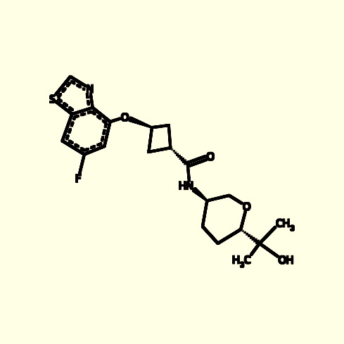 CC(C)(O)[C@@H]1CC[C@@H](NC(=O)[C@H]2C[C@H](Oc3cc(F)cc4scnc34)C2)CO1